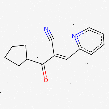 N#C/C(=C\c1ccccn1)C(=O)C1CCCC1